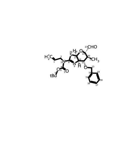 C=CCN(C(=O)OC(C)(C)C)C1=N[C@@H]2[C@@H](OCc3ccccc3)[C@H](C)[C@@H](C=O)O[C@@H]2S1